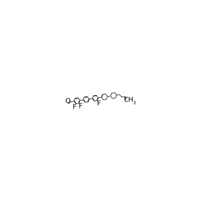 C=CCCC1CCC(C2CC=C(c3ccc(-c4ccc(-c5ccc(C6CO6)c(F)c5F)cc4)cc3F)CC2)CC1